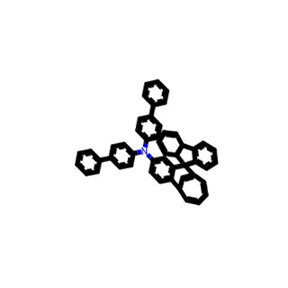 C1=CC2=CC(C=C1)c1ccc(N(c3ccc(-c4ccccc4)cc3)c3ccc(-c4ccccc4)cc3)cc1C21c2ccccc2C2C=CC=CC21